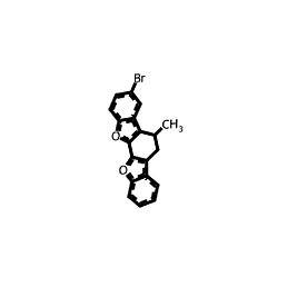 CC1Cc2c(oc3ccccc23)-c2oc3ccc(Br)cc3c21